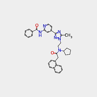 Cc1nc(-c2ccnc(NC(=O)c3ccccc3)c2)nn1CCN(C(=O)Cc1cccc2ccccc12)C1CCCC1